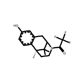 CC1(C)C2Cc3cc(O)ccc3[C@]1(C)CCN2C(=O)C(F)(F)F